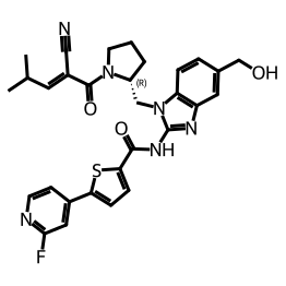 CC(C)C=C(C#N)C(=O)N1CCC[C@@H]1Cn1c(NC(=O)c2ccc(-c3ccnc(F)c3)s2)nc2cc(CO)ccc21